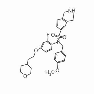 COc1ccc(CN(c2ccc(OCCC3CCOCC3)cc2F)S(=O)(=O)c2ccc3c(c2)CCNC3)cc1